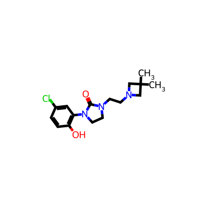 CC1(C)CN(CCN2CCN(c3cc(Cl)ccc3O)C2=O)C1